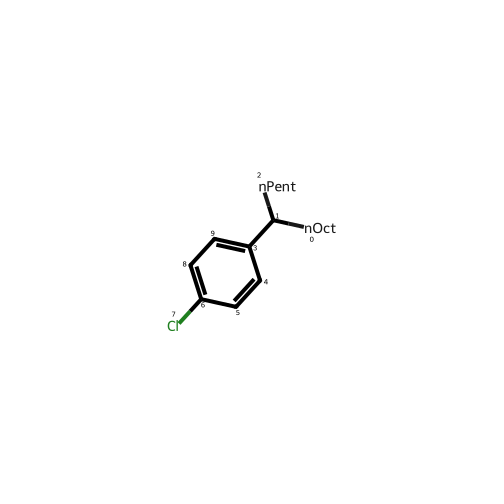 CCCCCCCCC(CCCCC)c1ccc(Cl)cc1